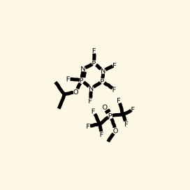 CC(C)OP1(F)=NP(F)N(F)P(F)N1F.COP(=O)(C(F)(F)F)C(F)(F)F